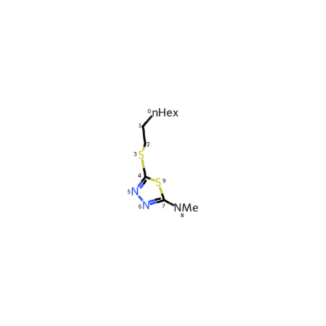 CCCCCCCCSc1nnc(NC)s1